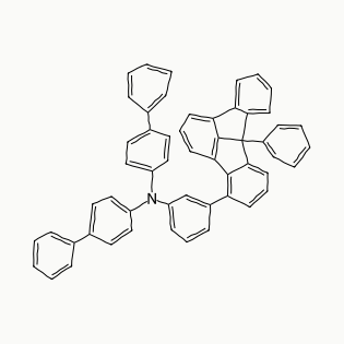 c1ccc(-c2ccc(N(c3ccc(-c4ccccc4)cc3)c3cccc(-c4cccc5c4-c4cccc6c4C5(c4ccccc4)c4ccccc4-6)c3)cc2)cc1